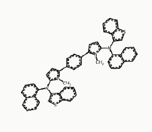 Cn1c(-c2ccc(-c3ccc(N(c4cccc5ccccc45)c4csc5ccccc45)n3C)cc2)ccc1N(c1cccc2ccccc12)c1csc2ccccc12